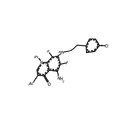 CC(=O)c1cn(C(C)C)c2c(F)c(NCCc3ccc(Cl)cc3)c(F)c(N)c2c1=O